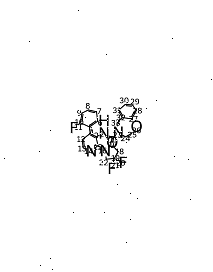 O=C(Nc1c(-c2ccccc2F)ccnc1N1CCC(F)(F)C1)N1CCOc2ccccc2C1